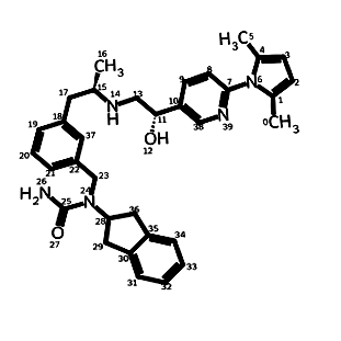 Cc1ccc(C)n1-c1ccc([C@H](O)CN[C@H](C)Cc2cccc(CN(C(N)=O)C3Cc4ccccc4C3)c2)cn1